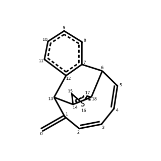 C=C1/C=C\C=CC2c3ccccc3C1c1cscc12